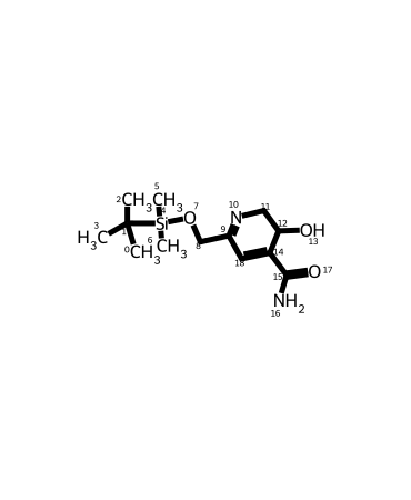 CC(C)(C)[Si](C)(C)OCC1=NCC(O)C(C(N)=O)=C1